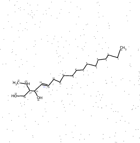 CCCCCCCCCCCCC/C=C/C(O)C(CO)NC